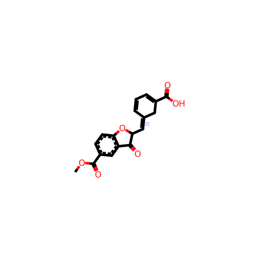 COC(=O)c1ccc2c(c1)C(=O)C(/C=C1\C=CC=C(C(=O)O)C1)O2